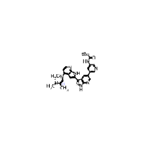 C=N/C(C)=C\N(C)c1ccnc2[nH]c(-c3n[nH]c4ncc(-c5cncc(NC(=O)C(C)(C)C)c5)cc34)cc12